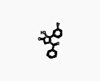 O=C1CN(C(=O)c2ccccc2)C(c2cccc(Br)c2)N1O